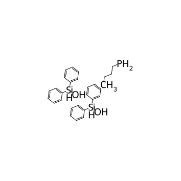 CCCCP.O[SiH](c1ccccc1)c1ccccc1.O[SiH](c1ccccc1)c1ccccc1